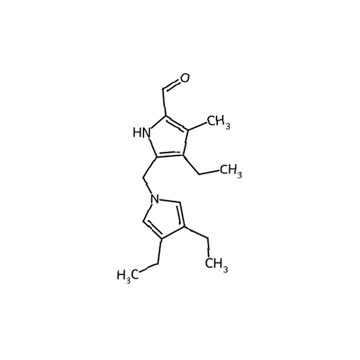 CCc1cn(Cc2[nH]c(C=O)c(C)c2CC)cc1CC